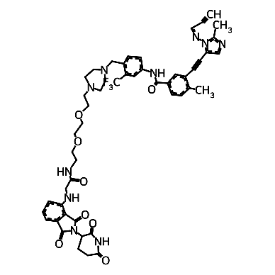 C#C/C=N\n1c(C#Cc2cc(C(=O)Nc3ccc(CN4CCN(CCOCCOCCNC(=O)CNc5cccc6c5C(=O)N(C5CCC(=O)NC5=O)C6=O)CC4)c(C(F)(F)F)c3)ccc2C)cnc1C